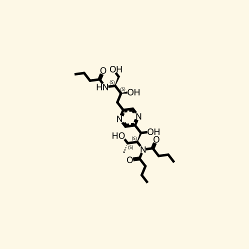 CCCC(=O)N[C@@H](CO)[C@@H](O)Cc1cnc(C(O)[C@H]([C@H](C)O)N(C(=O)CCC)C(=O)CCC)cn1